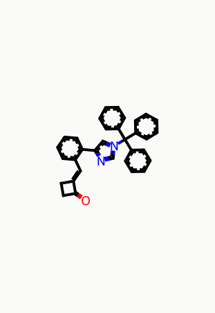 O=C1CCC1=Cc1ccccc1-c1cn(C(c2ccccc2)(c2ccccc2)c2ccccc2)cn1